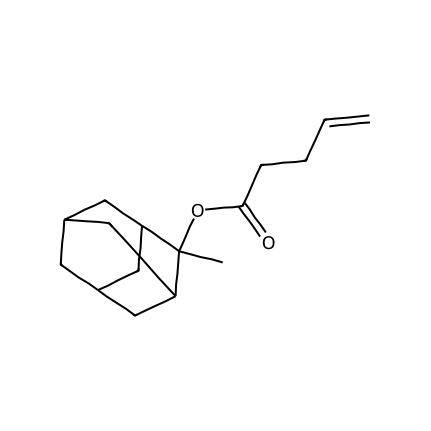 C=CCCC(=O)OC1(C)C2CC3CC(C2)CC1C3